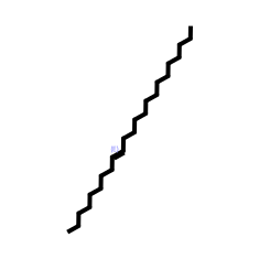 CCCCCCCC/C=C/CCCCCCCCCCCCC